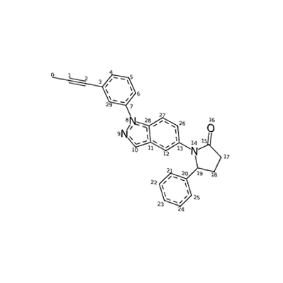 CC#Cc1cccc(-n2ncc3cc(N4C(=O)CCC4c4ccccc4)ccc32)c1